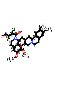 CCC1CN2CCc3cc(C)c(C)cc3C2CC1CC1c2cc(OC)c(OC)cc2CCN1C(=O)/C(Cl)=C(\Cl)C=O